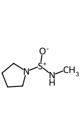 CN[S+]([O-])N1CCCC1